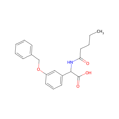 CCCCC(=O)NC(C(=O)O)c1cccc(OCc2ccccc2)c1